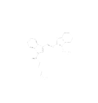 O=C(O)CCCC(=O)n1cc(C=Nc2sc3c(c2C(=O)O)CCCC3)c2ccccc21